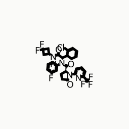 O=C(NC1CC(F)(F)C1)[C@H](C1CC=CC=C1Cl)N(C(=O)[C@@H]1CCC(=O)N1c1cccc(C(F)(F)F)n1)c1cccc(F)c1